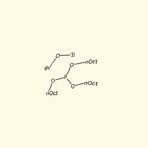 CC(C)[O][Ti].CCCCCCCCOP(OCCCCCCCC)OCCCCCCCC